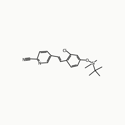 CC(C)(C)[Si](C)(C)Oc1ccc(/C=C/c2ccc(C#N)nc2)c(Cl)c1